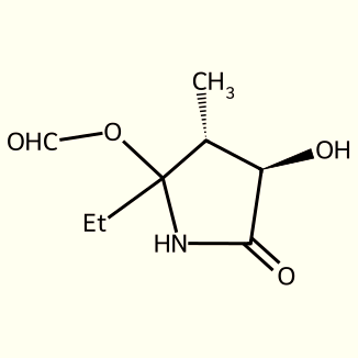 CCC1(OC=O)NC(=O)[C@H](O)[C@H]1C